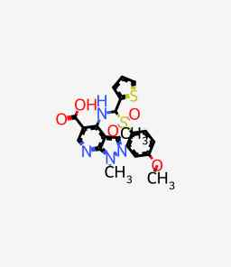 COc1ccc(S(=O)(=O)C(Nc2c(C(=O)O)cnc3c2c(C)nn3C)c2cccs2)cc1